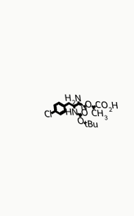 CC(O/N=C(\N)C(Cc1ccc(Cl)cc1)NC(=O)OC(C)(C)C)C(=O)O